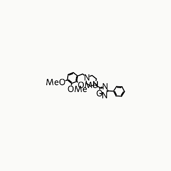 COc1ccc(CN2CCN(c3nc(-c4ccccc4)no3)CC2)c(OC)c1OC